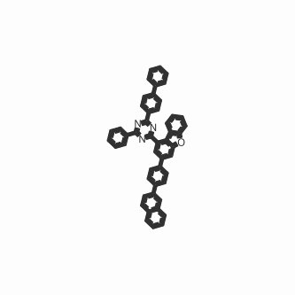 c1ccc(-c2ccc(-c3nc(-c4ccccc4)nc(-c4cc(-c5ccc(-c6ccc7ccccc7c6)cc5)cc5oc6ccccc6c45)n3)cc2)cc1